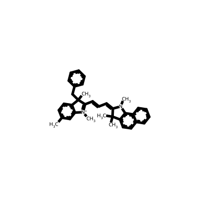 Cc1ccc2c(c1)[N+](C)=C(/C=C/C=C1/N(C)c3c(ccc4ccccc34)C1(C)C)C2(C)Cc1ccccc1